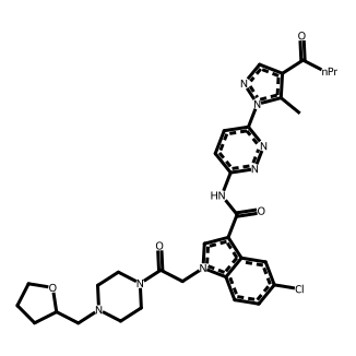 CCCC(=O)c1cnn(-c2ccc(NC(=O)c3cn(CC(=O)N4CCN(CC5CCCO5)CC4)c4ccc(Cl)cc34)nn2)c1C